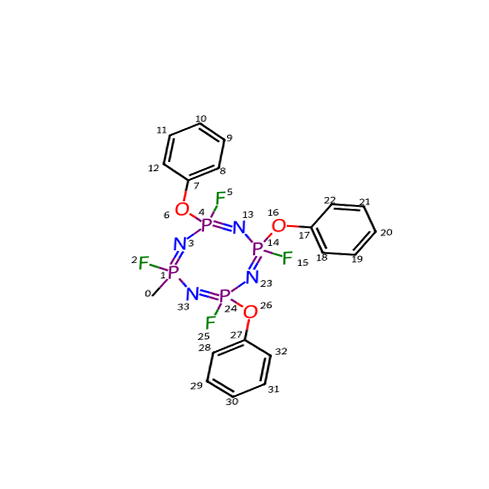 CP1(F)=NP(F)(Oc2ccccc2)=NP(F)(Oc2ccccc2)=NP(F)(Oc2ccccc2)=N1